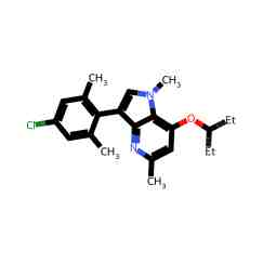 CCC(CC)Oc1cc(C)nc2c(-c3c(C)cc(Cl)cc3C)cn(C)c12